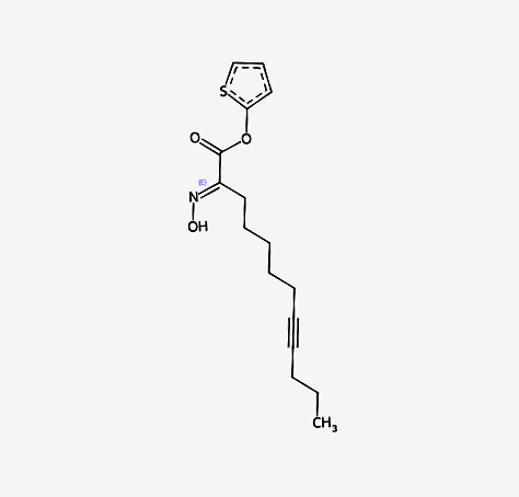 CCCC#CCCCCC/C(=N\O)C(=O)Oc1cccs1